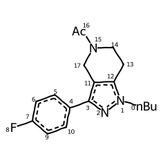 CCCCn1nc(-c2ccc(F)cc2)c2c1CCN(C(C)=O)C2